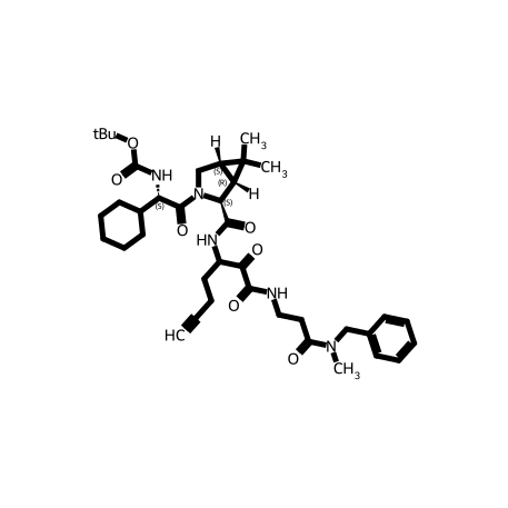 C#CCCC(NC(=O)[C@@H]1[C@@H]2[C@H](CN1C(=O)[C@@H](NC(=O)OC(C)(C)C)C1CCCCC1)C2(C)C)C(=O)C(=O)NCCC(=O)N(C)Cc1ccccc1